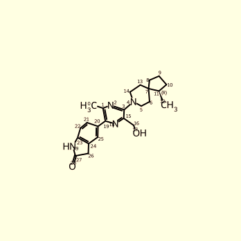 Cc1nc(N2CCC3(CCC[C@H]3C)CC2)c(CO)nc1-c1ccc2c(c1)CC(=O)N2